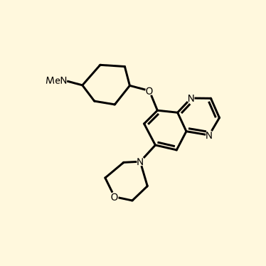 CNC1CCC(Oc2cc(N3CCOCC3)cc3nccnc23)CC1